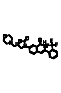 O=C1O[C@H](CN2CCOCC2)CN1c1ccc2cc(-c3ccccc3C(F)(F)F)[nH]c(=O)c2c1